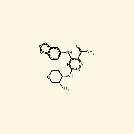 NC(=O)c1nnc(N[C@@H]2CCOC[C@@H]2N)nc1Nc1ccc2sccc2c1